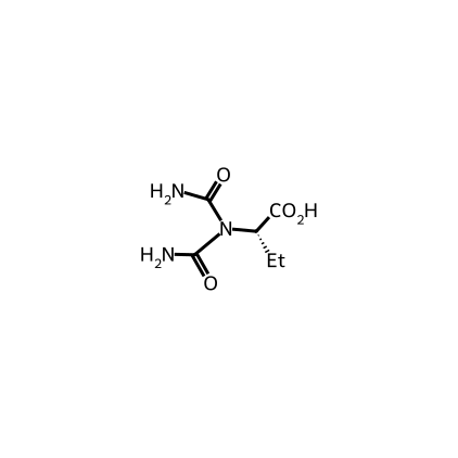 CC[C@@H](C(=O)O)N(C(N)=O)C(N)=O